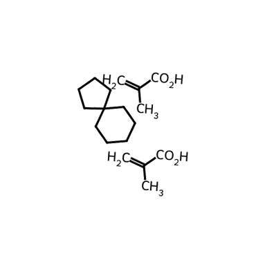 C1CCC2(CC1)CCCC2.C=C(C)C(=O)O.C=C(C)C(=O)O